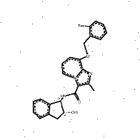 Cc1nc2c(OCc3ccccc3F)cccn2c1C(=O)N[C@@H]1c2ccccc2C[C@H]1O